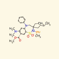 CCCCC1(CC)CN(c2ccccc2)c2cc(N(C)C)c(C(=O)OC)cc2S(=O)(=O)N1PC